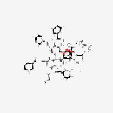 CCCCO[C@@H]1OC(COC(=O)c2ccccc2)[C@@H](O[C@@H]2OC(CO[C@]3(C(=O)OC)C[C@@H](O)[C@@H](N)C([C@H](O)[C@@H](CO)OC(C)=O)O3)[C@H](O)C(OC(=O)c3ccccc3)[C@@H]2OC(=O)c2ccccc2)C(OC(=O)c2ccccc2)[C@@H]1OC(=O)c1ccccc1